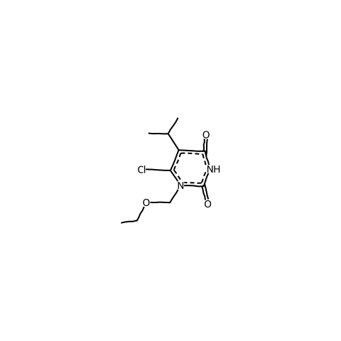 CCOCn1c(Cl)c(C(C)C)c(=O)[nH]c1=O